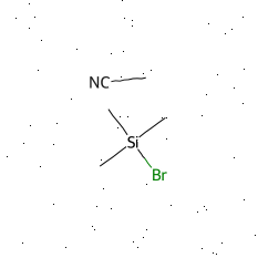 CC#N.C[Si](C)(C)Br